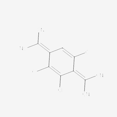 N#CC(C#N)=c1cc(Cl)c(=C(C#N)C#N)c(Cl)c1Cl